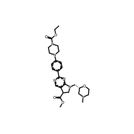 CCOC(=O)N1CCN(c2ccc(-c3ncc4c(n3)N(C[C@H]3CN(C)CCO3)CC4C(=O)OC)cc2)CC1